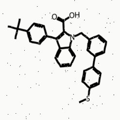 CSc1ccc(-c2cccc(Cn3c(C(=O)O)c(-c4ccc(C(C)(C)C)cc4)c4ccccc43)c2)cc1